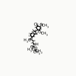 COc1cc(OC)c(-c2cn3ccc(N(C)CCNC(=O)OC(C)(C)C)cc3n2)cc1Cl